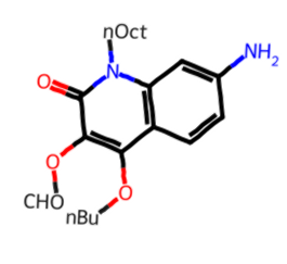 CCCCCCCCn1c(=O)c(OC=O)c(OCCCC)c2ccc(N)cc21